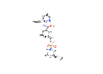 COc1cccnc1NC(=O)c1cccc(C=CCS(=O)(=O)N2CCCC(C(=O)O)C2)c1